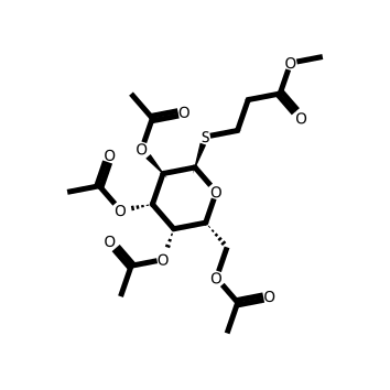 COC(=O)CCS[C@H]1O[C@H](COC(C)=O)[C@H](OC(C)=O)[C@H](OC(C)=O)[C@H]1OC(C)=O